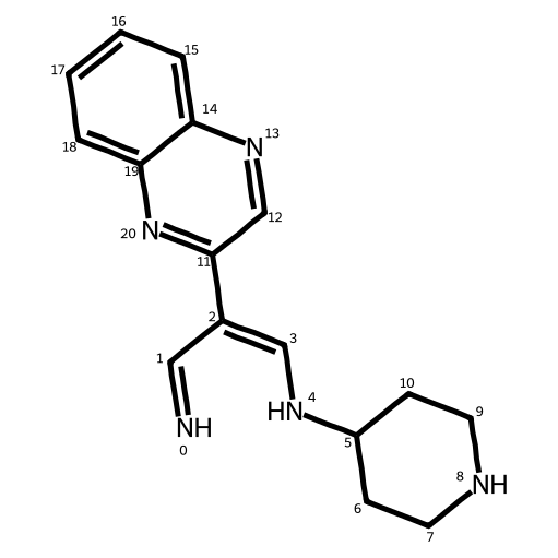 N=C/C(=C\NC1CCNCC1)c1cnc2ccccc2n1